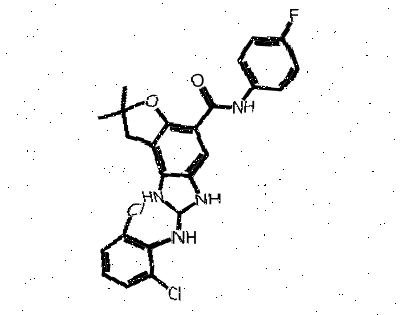 CC1(C)Cc2c3c(cc(C(=O)Nc4ccc(F)cc4)c2O1)NC(Nc1c(Cl)cccc1Cl)N3